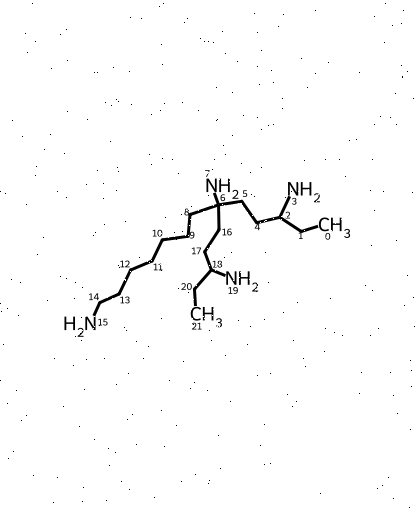 CCC(N)CCC(N)(CCCCCCCN)CCC(N)CC